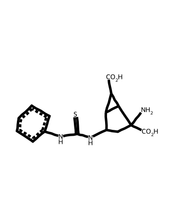 NC1(C(=O)O)CC(NC(=S)Nc2ccccc2)C2C(C(=O)O)C21